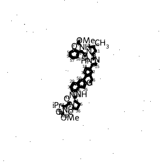 COC(=O)NC(C(=O)N1C[C@@H](C)C[C@H]1c1ncc(-c2ccc3c(c2)COc2cc4c(ccc5nc([C@@H]6CC[C@H](C)N6C(=O)C(NC(=O)OC)C(C)C)[nH]c54)cc2-3)[nH]1)c1ccccc1